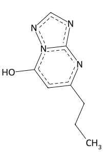 CCCc1cc(O)n2ncnc2n1